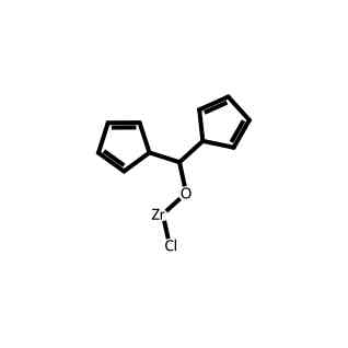 [Cl][Zr][O]C(C1C=CC=C1)C1C=CC=C1